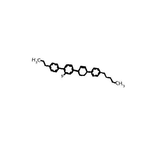 CCCCCc1ccc(C2C=CC(c3ccc(-c4ccc(CCC)cc4)c(F)c3)CC2)cc1